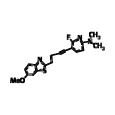 COc1ccc2nc(/C=C/C#Cc3ccc(N(C)C)nc3F)sc2c1